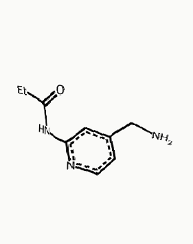 CCC(=O)Nc1cc(CN)ccn1